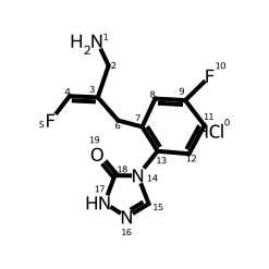 Cl.NC/C(=C/F)Cc1cc(F)ccc1-n1cn[nH]c1=O